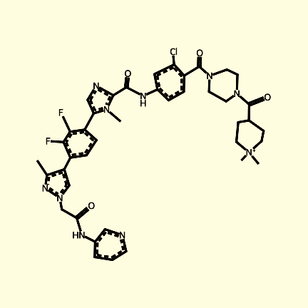 Cc1nn(CC(=O)Nc2cccnc2)cc1-c1ccc(-c2cnc(C(=O)Nc3ccc(C(=O)N4CCN(C(=O)C5CC[N+](C)(C)CC5)CC4)c(Cl)c3)n2C)c(F)c1F